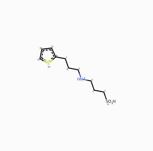 O=S(=O)(O)CCCNCCCc1cccs1